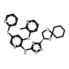 Cc1ncccc1Oc1cc(Sc2ccccn2)cnc1Nc1nc([C@H]2COC3(CCCCC3)O2)ns1